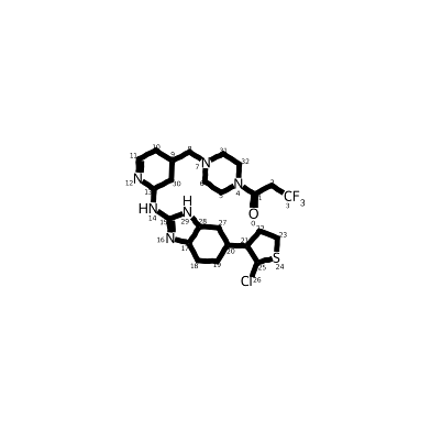 O=C(CC(F)(F)F)N1CCN(CC2CC=NC(NC3=NC4CCC(C5CCSC5Cl)CC4N3)C2)CC1